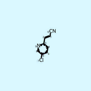 N#CC=Cc1ccc(Cl)cn1